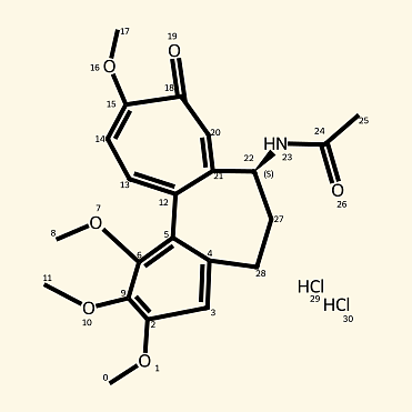 COc1cc2c(c(OC)c1OC)-c1ccc(OC)c(=O)cc1[C@@H](NC(C)=O)CC2.Cl.Cl